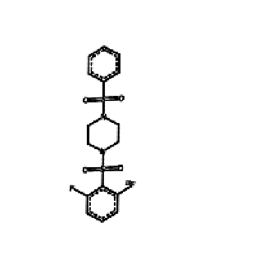 O=S(=O)(c1ccccc1)N1CCN(S(=O)(=O)c2c(F)cccc2[18F])CC1